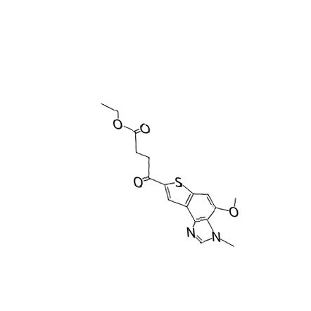 CCOC(=O)CCC(=O)c1cc2c(cc(OC)c3c2ncn3C)s1